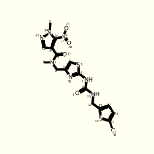 CN(Cc1csc(NC(=O)NCc2ccc(Cl)s2)n1)C(=O)c1cnn(C)c1[N+](=O)[O-]